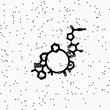 CC#CC(=O)N1CC[C@@H](C(=O)N(C)[C@H](C(=O)N[C@H]2Cc3cccc(c3)-c3ccc4c(c3)c(c(-c3cccnc3[C@H](C)OC)n4CC)CC(C)(C)COC(=O)[C@@H]3CCCN(N3)C2=O)C(C)C)C1